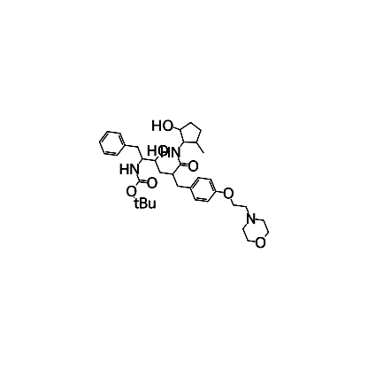 CC1CCC(O)C1NC(=O)C(Cc1ccc(OCCN2CCOCC2)cc1)CC(O)C(Cc1ccccc1)NC(=O)OC(C)(C)C